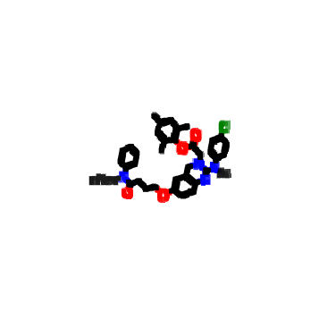 CCCCCCN(C(=O)CCCOc1ccc2c(c1)CN(CC(=O)Oc1c(C)cc(C)cc1C)C(N(C(C)=O)c1ccc(Cl)cc1)=N2)c1ccccc1